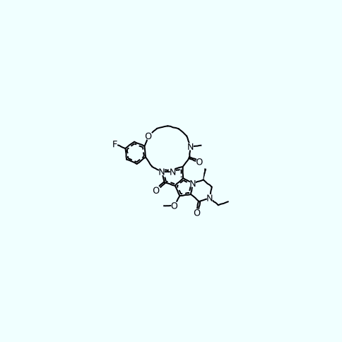 CCN1C[C@H](C)n2c(c(OC)c3c(=O)n4nc(c32)C(=O)N(C)CCCCOc2cc(F)ccc2C4)C1=O